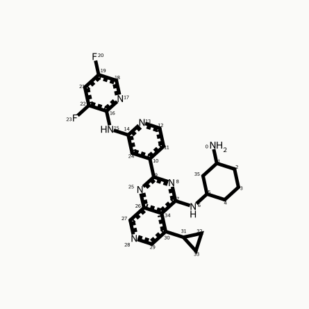 NC1CCCC(Nc2nc(-c3ccnc(Nc4ncc(F)cc4F)c3)nc3cncc(C4CC4)c23)C1